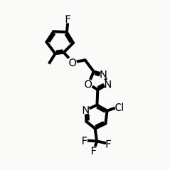 Cc1ccc(F)cc1OCc1nnc(-c2ncc(C(F)(F)F)cc2Cl)o1